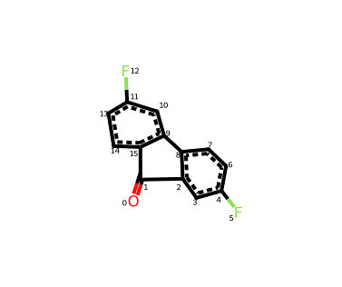 O=C1c2cc(F)ccc2-c2cc(F)ccc21